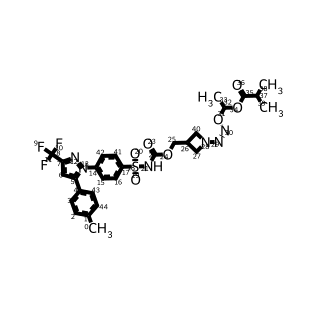 Cc1ccc(-c2cc(C(F)(F)F)nn2-c2ccc(S(=O)(=O)NC(=O)OCC3CN(/N=N\OC(C)OC(=O)C(C)C)C3)cc2)cc1